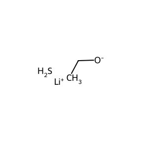 CC[O-].S.[Li+]